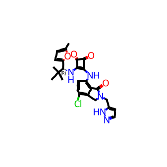 Cc1ccc([C@H](Nc2c(Nc3ccc(Cl)c4c3C(=O)N(Cc3ccn[nH]3)C4)c(=O)c2=O)C(C)(C)C)o1